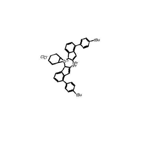 CCCC1=Cc2c(-c3ccc(C(C)(C)C)cc3)cccc2[CH]1[Zr+2]1([CH]2C(CCC)=Cc3c(-c4ccc(C(C)(C)C)cc4)cccc32)[CH]2CCCC[CH]21.[Cl-].[Cl-]